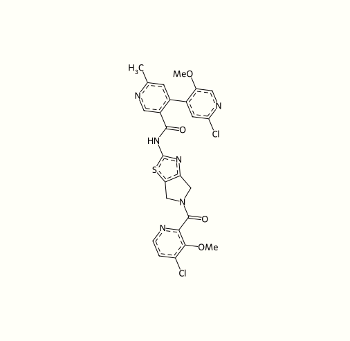 COc1cnc(Cl)cc1-c1cc(C)ncc1C(=O)Nc1nc2c(s1)CN(C(=O)c1nccc(Cl)c1OC)C2